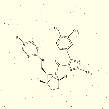 Cc1nc(C(=O)N2[C@@H]3CC[C@@H](C3)[C@H]2CNc2ncc(Br)cn2)c(-c2ccc(C)c(C)c2)s1